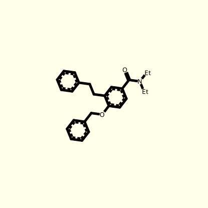 CCN(CC)C(=O)c1ccc(OCc2ccccc2)c(CCc2ccccc2)c1